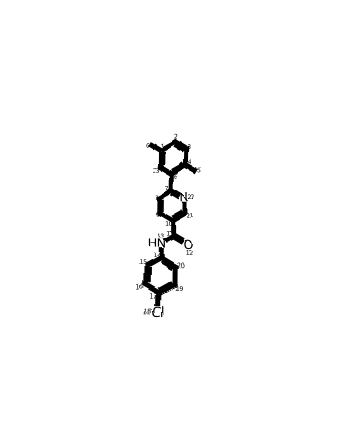 Cc1ccc(C)c(-c2ccc(C(=O)Nc3ccc(Cl)cc3)cn2)c1